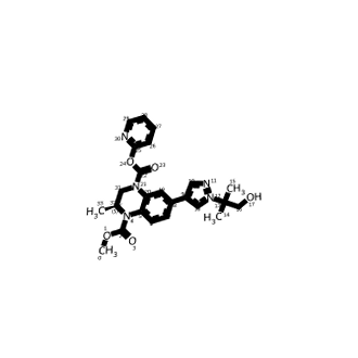 COC(=O)N1c2ccc(-c3cnn(C(C)(C)CO)c3)cc2N(C(=O)Oc2ccccn2)C[C@@H]1C